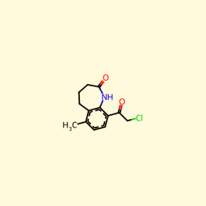 Cc1ccc(C(=O)CCl)c2c1CCCC(=O)N2